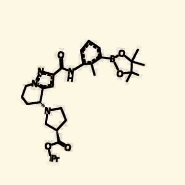 Cc1c(NC(=O)c2cc3n(n2)CCC[C@H]3N2CC[C@@H](C(=O)OC(C)C)C2)cccc1B1OC(C)(C)C(C)(C)O1